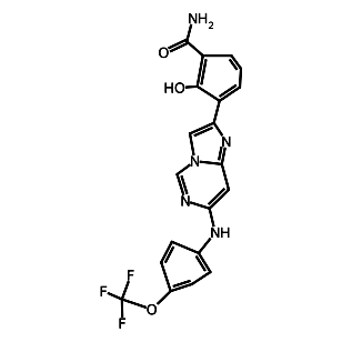 NC(=O)c1cccc(-c2cn3cnc(Nc4ccc(OC(F)(F)F)cc4)cc3n2)c1O